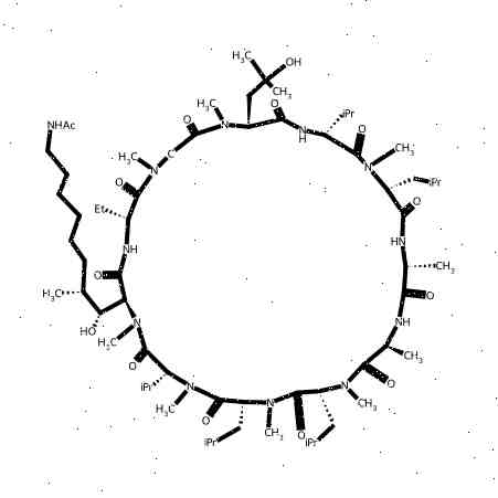 CC[C@H]1NC(=O)[C@H]([C@H](O)[C@H](C)CCCCCCNC(C)=O)N(C)C(=O)[C@@H](C(C)C)N(C)C(=O)[C@@H](CC(C)C)N(C)C(=O)[C@@H](CC(C)C)N(C)C(=O)[C@H](C)NC(=O)[C@@H](C)NC(=O)[C@@H](CC(C)C)N(C)C(=O)[C@@H](C(C)C)NC(=O)[C@H](CC(C)(C)O)N(C)C(=O)CN(C)C1=O